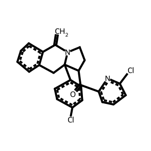 C=C1c2ccccc2CC2(c3ccc(Cl)cc3)C(C(=O)c3cccc(Cl)n3)CCN12